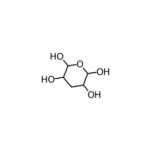 OC1CC(O)C(O)OC1O